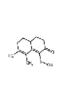 CSC1=C2C(C)=C(O)CCC2CCC1=O